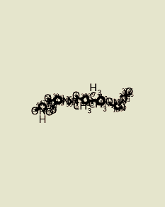 CN(C(=O)c1ccc(C(C)(C)c2ccc(OCc3ccnc(N4CC5(COC5)C4)n3)cc2)cc1)C1CN(c2ccc3c(c2)C(=O)N(C2CCC(=O)NC2=O)C3=O)C1